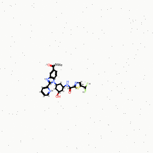 CNC(=O)c1ccc2c(c1)nc(-c1ccccn1)n2C1CC(O)CC(NC(=O)c2ncc(C(F)F)s2)C1